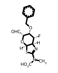 CN(C(=O)O)C1=N[C@@H]2[C@@H](F)[C@@H](OCc3ccccc3)[C@@H](C=O)O[C@@H]2S1